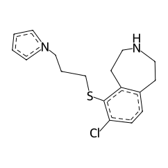 Clc1ccc2c(c1SCCCn1cccc1)CCNCC2